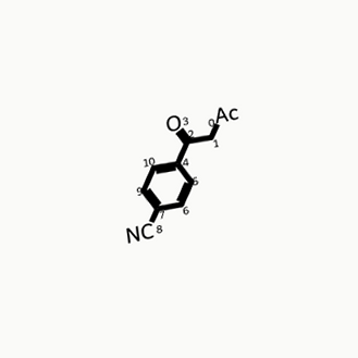 CC(=O)CC(=O)c1ccc(C#N)cc1